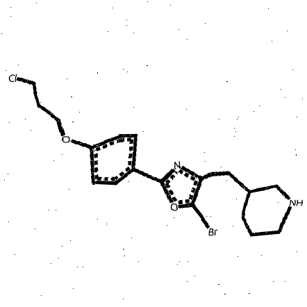 ClCCCOc1ccc(-c2nc(CC3CCCNC3)c(Br)o2)cc1